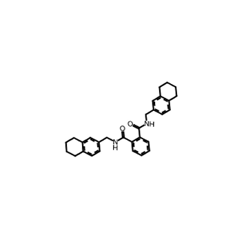 O=C(NCc1ccc2c(c1)CCCC2)c1ccccc1C(=O)NCc1ccc2c(c1)CCCC2